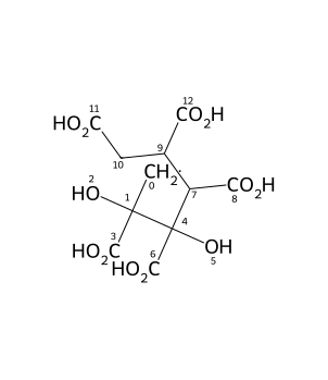 [CH2]C(O)(C(=O)O)C(O)(C(=O)O)C(C(=O)O)C(CC(=O)O)C(=O)O